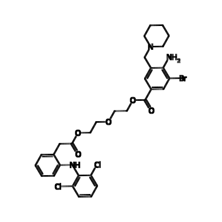 Nc1c(Br)cc(C(=O)OCCOCCOC(=O)Cc2ccccc2Nc2c(Cl)cccc2Cl)cc1CN1CCCCC1